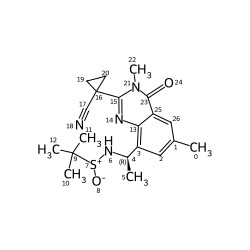 Cc1cc([C@@H](C)N[S+]([O-])C(C)(C)C)c2nc(C3(C#N)CC3)n(C)c(=O)c2c1